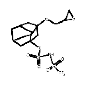 O=S(=O)(NS(=O)(=O)C(F)(F)F)OC12CC3CC(CC(OCC4CO4)(C3)C1)C2